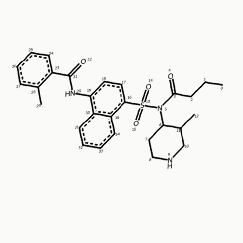 CCCC(=O)N(C1CCNCC1C)S(=O)(=O)c1ccc(NC(=O)c2ccccc2C)c2ccccc12